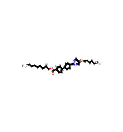 CCCCCCC[C@@H](Cl)COC(=O)c1ccc(-c2ccc(-c3ncc(OCCCCCC)cn3)cc2)cc1